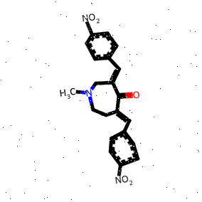 CN1CC/C(=C\c2ccc([N+](=O)[O-])cc2)C(=O)/C(=C/c2ccc([N+](=O)[O-])cc2)C1